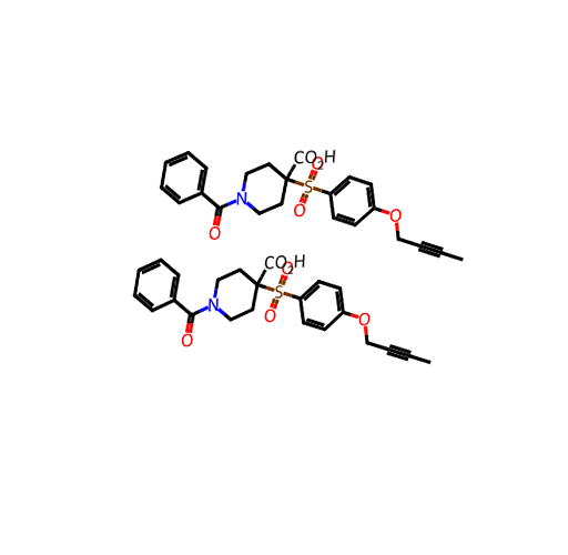 CC#CCOc1ccc(S(=O)(=O)C2(C(=O)O)CCN(C(=O)c3ccccc3)CC2)cc1.CC#CCOc1ccc(S(=O)(=O)C2(C(=O)O)CCN(C(=O)c3ccccc3)CC2)cc1